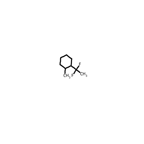 CC1CCCCC1C(C)(F)F